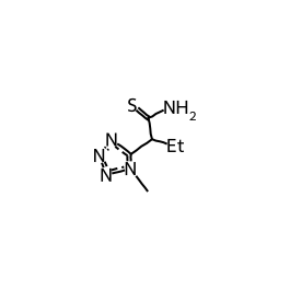 CCC(C(N)=S)c1nnnn1C